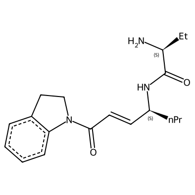 CCC[C@@H](C=CC(=O)N1CCc2ccccc21)NC(=O)[C@@H](N)CC